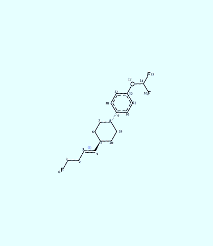 FCC/C=C/[C@H]1CC[C@H](c2ccc(OC(F)F)cc2)CC1